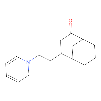 O=C1CC(CCN2C=CC=CC2)C2CCCC1C2